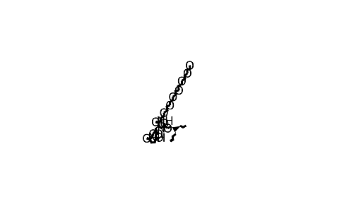 C=CCC[C@H]1[C@@H](CCC)[C@H]1COC(=O)N[C@@H](CC(=O)ON1C(=O)CCC1=O)C(=O)NCCOCCOCCOCCOCCOCCOCCOC